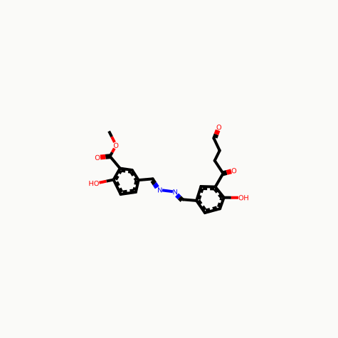 COC(=O)c1cc(/C=N/N=C/c2ccc(O)c(C(=O)CCC=O)c2)ccc1O